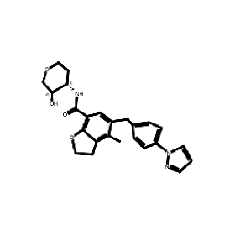 Cc1c(Cc2ccc(-n3cccn3)cc2)cc(C(=O)N[C@H]2CCOC[C@@H]2O)c2c1CCO2